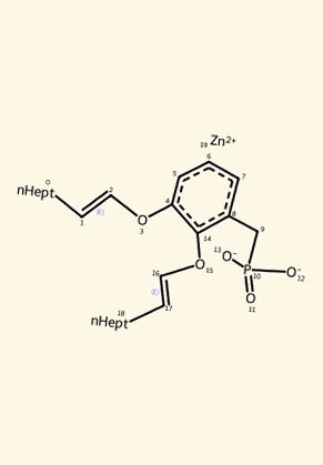 CCCCCCC/C=C/Oc1cccc(CP(=O)([O-])[O-])c1O/C=C/CCCCCCC.[Zn+2]